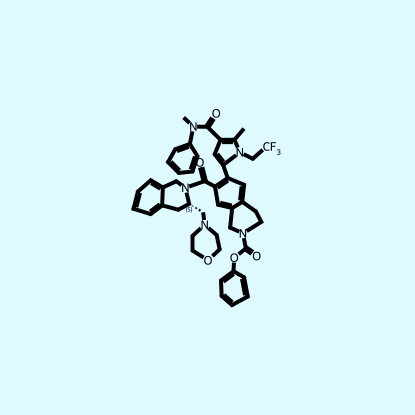 Cc1c(C(=O)N(C)c2ccccc2)cc(-c2cc3c(cc2C(=O)N2Cc4ccccc4C[C@H]2CN2CCOCC2)CN(C(=O)Oc2ccccc2)CC3)n1CC(F)(F)F